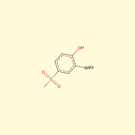 CNc1cc(S(C)(=O)=O)ccc1O